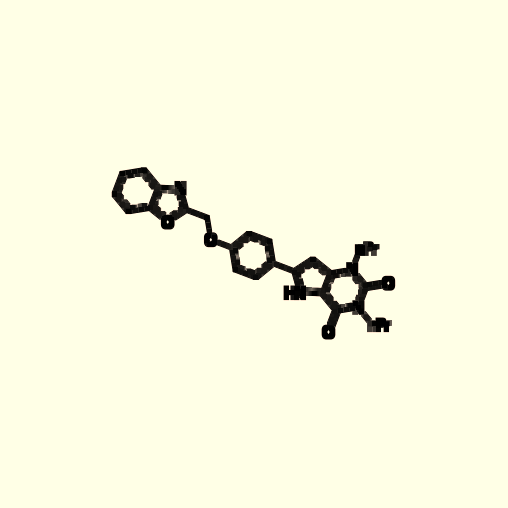 CCCn1c(=O)c2[nH]c(-c3ccc(OCc4nc5ccccc5o4)cc3)cc2n(CCC)c1=O